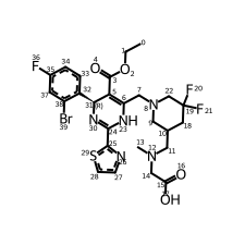 CCOC(=O)C1=C(CN2CC(CN(C)CC(=O)O)CC(F)(F)C2)NC(c2nccs2)=N[C@H]1c1ccc(F)cc1Br